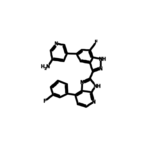 Nc1cncc(-c2cc(F)c3[nH]nc(-c4nc5c(-c6cccc(F)c6)ccnc5[nH]4)c3c2)c1